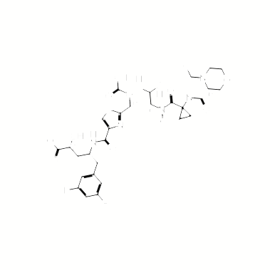 CCN1CCOC[C@@H]1C(=O)NC1(C(=O)N(C)[C@H](C[C@@H](OC(C)=O)c2nc(C(=O)N[C@@H](Cc3cc(F)cc(F)c3)C[C@H](C)C(=O)O)cs2)C(C)C)CC1